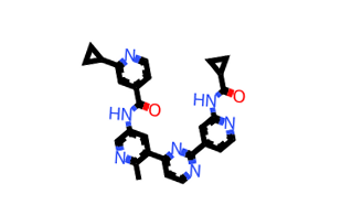 Cc1ncc(NC(=O)c2ccnc(C3CC3)c2)cc1-c1ccnc(-c2ccnc(NC(=O)C3CC3)c2)n1